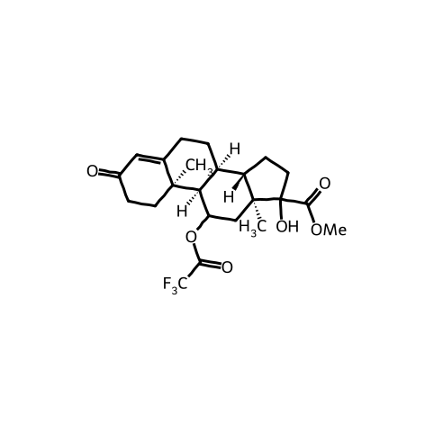 COC(=O)C1(O)CC[C@H]2[C@@H]3CCC4=CC(=O)CC[C@]4(C)[C@@H]3C(OC(=O)C(F)(F)F)C[C@@]21C